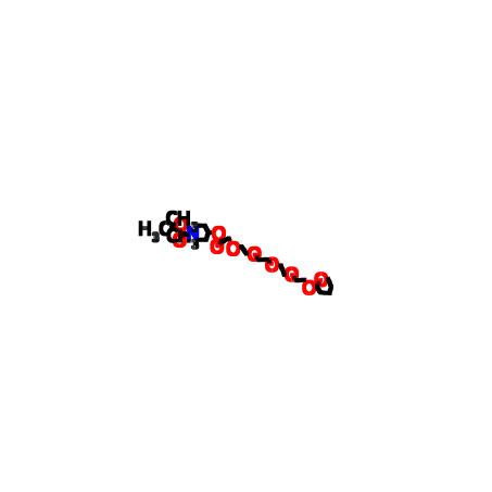 CC(C)(C)OC(=O)N1CCC(OC(=O)COCCOCCOCCOCCOC2CCCCO2)CC1